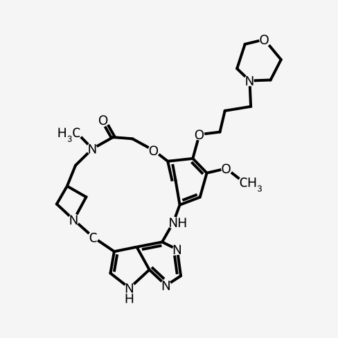 COc1cc2cc(c1OCCCN1CCOCC1)OCC(=O)N(C)CC1CN(Cc3c[nH]c4ncnc(c34)N2)C1